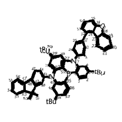 CC(C)(C)c1ccc2c(c1)N(c1ccc(-c3cccc4oc5ccccc5c34)cc1)c1cc(C(C)(C)C)cc3c1B2c1ccc(C(C)(C)C)cc1N3c1ccc2c(c1)C(C)(C)c1ccccc1-2